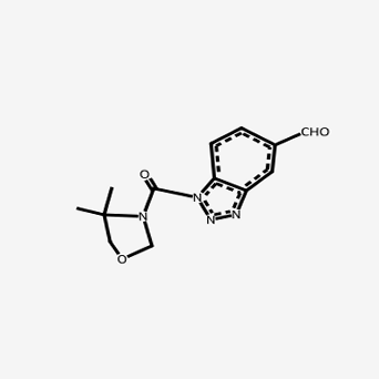 CC1(C)COCN1C(=O)n1nnc2cc(C=O)ccc21